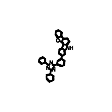 c1ccc(-c2nc(-c3ccccc3)nc(-c3cccc(-c4ccc5c(c4)[nH]c4ccc6c7ccccc7oc6c45)c3)n2)cc1